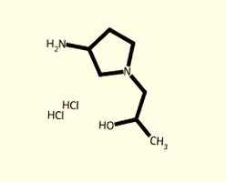 CC(O)CN1CCC(N)C1.Cl.Cl